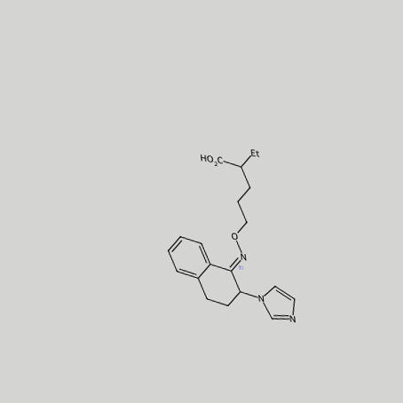 CCC(CCCO/N=C1\c2ccccc2CCC1n1ccnc1)C(=O)O